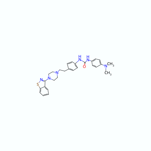 CN(C)c1ccc(NC(=O)Nc2ccc(CCN3CCN(c4nsc5ccccc45)CC3)cc2)cc1